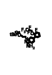 CC(C)(C)[Si](C)(C)OCCCn1nc(N)c2ccc(-c3cccc(F)c3OCC(F)(F)C(F)(F)F)cc21